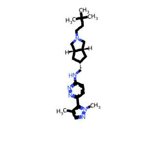 Cc1cnn(C)c1-c1ccc(NC[C@@H]2C[C@@H]3CN(CCC(C)(C)C)C[C@@H]3C2)nn1